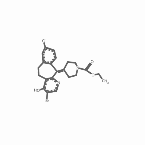 CCOC(=O)N1CCC(=C2c3ccc(Cl)cc3CCc3c2ncc(Br)c3O)CC1